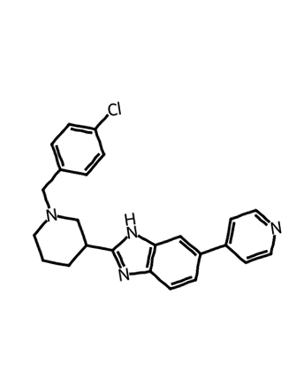 Clc1ccc(CN2CCCC(c3nc4ccc(-c5ccncc5)cc4[nH]3)C2)cc1